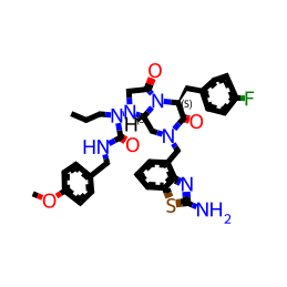 CCCN(C(=O)NCc1ccc(OC)cc1)N1CC(=O)N2[C@@H](Cc3ccc(F)cc3)C(=O)N(Cc3cccc4sc(N)nc34)C[C@@H]21